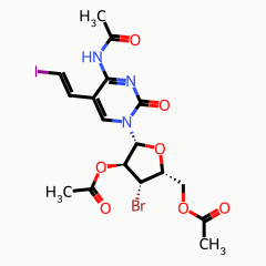 CC(=O)Nc1nc(=O)n([C@@H]2O[C@H](COC(C)=O)[C@H](Br)[C@H]2OC(C)=O)cc1/C=C/I